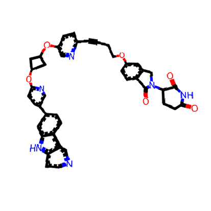 O=C1CCC(N2Cc3cc(OCCC#Cc4ccc(OC5CC(Oc6ccc(-c7ccc8c(c7)[nH]c7ccncc78)cn6)C5)cn4)ccc3C2=O)C(=O)N1